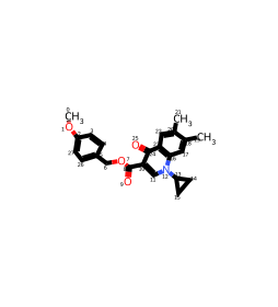 COc1ccc(COC(=O)c2cn(C3CC3)c3cc(C)c(C)cc3c2=O)cc1